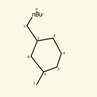 CCC[CH]CC1CCCC(C)C1